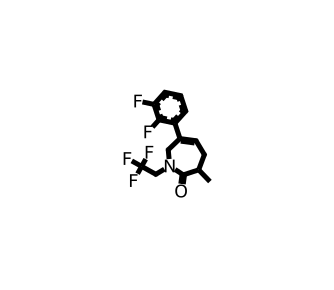 CC1CC=C(c2cccc(F)c2F)CN(CC(F)(F)F)C1=O